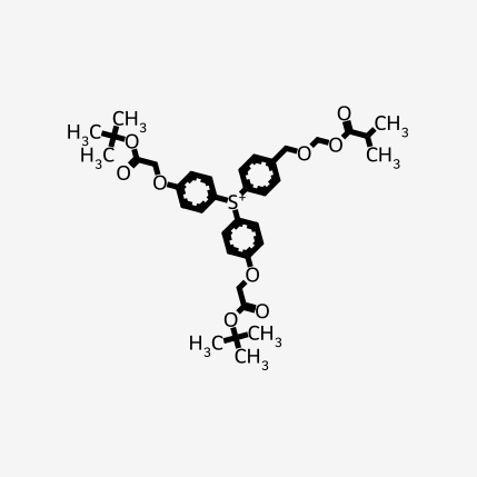 CC(C)C(=O)OCOCc1ccc([S+](c2ccc(OCC(=O)OC(C)(C)C)cc2)c2ccc(OCC(=O)OC(C)(C)C)cc2)cc1